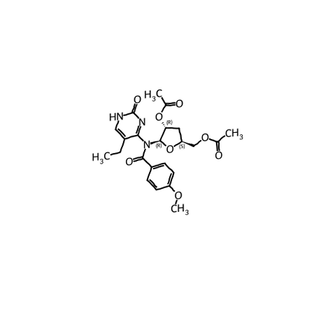 CCc1c[nH]c(=O)nc1N(C(=O)c1ccc(OC)cc1)[C@@H]1O[C@H](COC(C)=O)C[C@H]1OC(C)=O